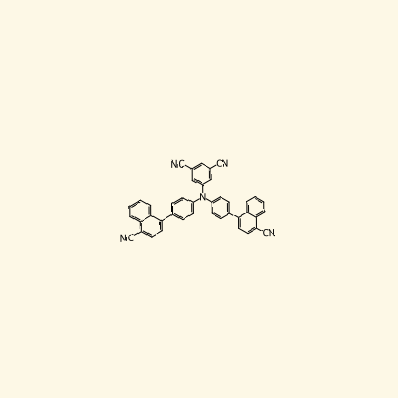 N#Cc1cc(C#N)cc(N(c2ccc(-c3ccc(C#N)c4ccccc34)cc2)c2ccc(-c3ccc(C#N)c4ccccc34)cc2)c1